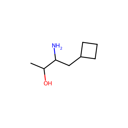 CC(O)C(N)CC1CCC1